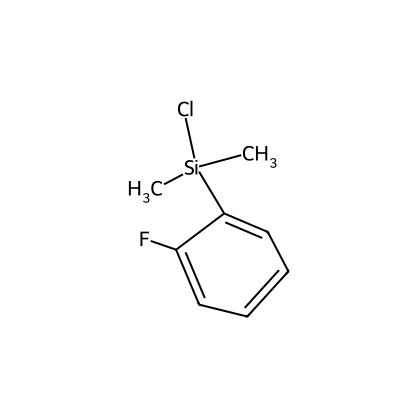 C[Si](C)(Cl)c1ccccc1F